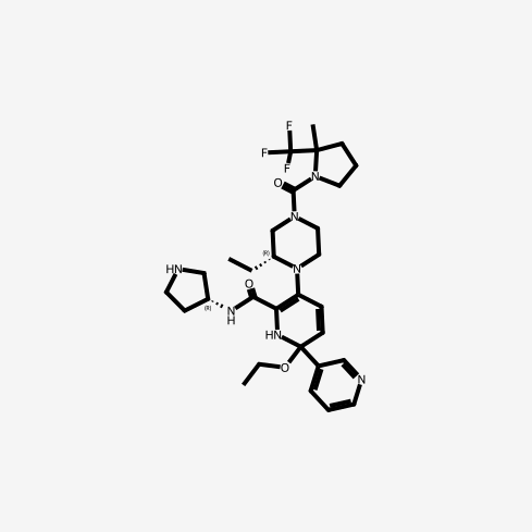 CCOC1(c2cccnc2)C=CC(N2CCN(C(=O)N3CCCC3(C)C(F)(F)F)C[C@H]2CC)=C(C(=O)N[C@@H]2CCNC2)N1